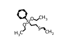 C=CSCC[Si](OCC)(OCC)c1ccccc1